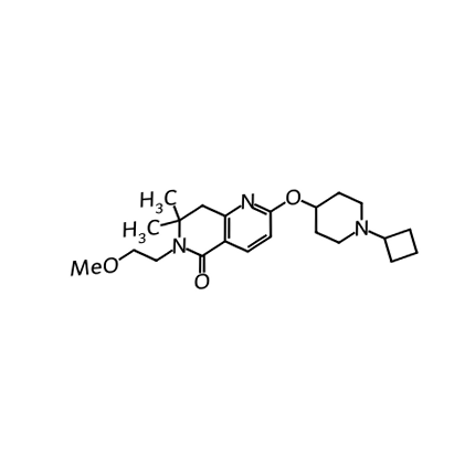 COCCN1C(=O)c2ccc(OC3CCN(C4CCC4)CC3)nc2CC1(C)C